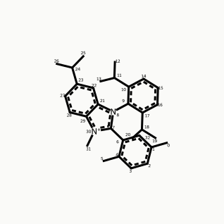 Cc1ccc(C)c(-c2n(-c3c(C(C)C)cccc3C(C)C)c3cc(C(C)C)ccc3[n+]2C)c1